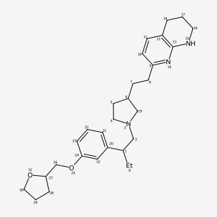 CCC(CN1CCC(CCc2ccc3c(n2)NCCC3)C1)c1cccc(OCC2CCCO2)c1